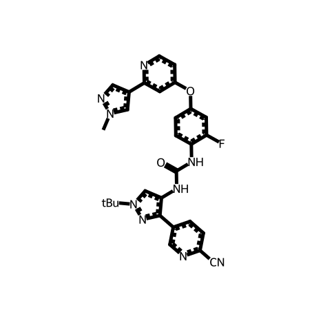 Cn1cc(-c2cc(Oc3ccc(NC(=O)Nc4cn(C(C)(C)C)nc4-c4ccc(C#N)nc4)c(F)c3)ccn2)cn1